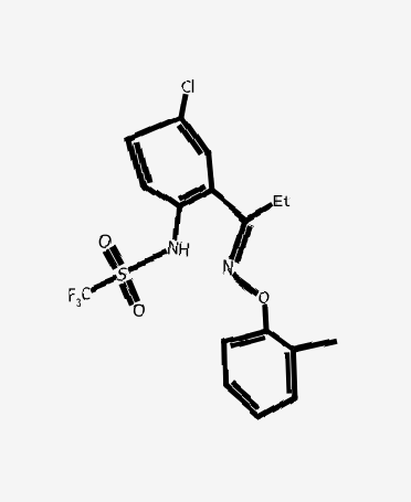 CC/C(=N\Oc1ccccc1C)c1cc(Cl)ccc1NS(=O)(=O)C(F)(F)F